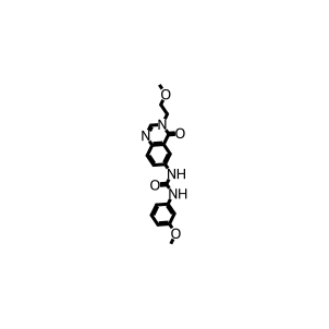 COCCn1cnc2ccc(NC(=O)Nc3cccc(OC)c3)cc2c1=O